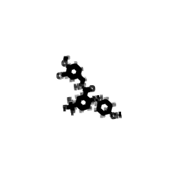 COc1ccc(CNC(=O)c2cc(C(F)(F)F)ccc2N[C@H]2CC[C@@H](O)CC2)cc1Cl